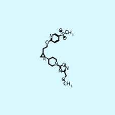 COCc1noc(N2CCC([C@H]3CC3CCOc3ccc(S(C)(=O)=O)cn3)CC2)n1